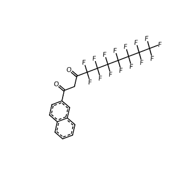 O=C(CC(=O)C(F)(F)C(F)(F)C(F)(F)C(F)(F)C(F)(F)C(F)(F)C(F)(F)F)c1ccc2ccccc2c1